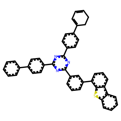 C1=CCCC(c2ccc(-c3nc(-c4ccc(-c5ccccc5)cc4)nc(-c4cccc(-c5cccc6c5sc5ccccc56)c4)n3)cc2)=C1